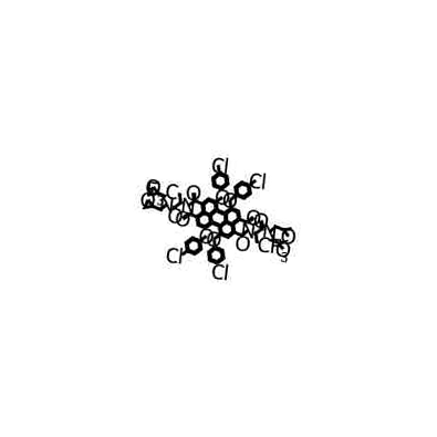 O=C(C(CC(F)(F)F)N1C(=O)c2cc(Oc3ccc(Cl)cc3)c3c4c(Oc5ccc(Cl)cc5)cc5c6c(cc(Oc7ccc(Cl)cc7)c(c7c(Oc8ccc(Cl)cc8)cc(c2c37)C1=O)c64)C(=O)N(C(CC(F)(F)F)C(=O)N(CC1CO1)CC1CO1)C5=O)N(CC1CO1)CC1CO1